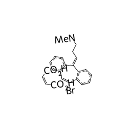 CNCC/C=C1\c2ccccc2C=C(Br)c2ccccc21.O=C(O)/C=C\C(=O)O